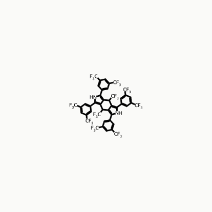 FC(F)(F)c1cc(-c2[nH]c(-c3cc(C(F)(F)F)cc(C(F)(F)F)c3)c3c2C(C(F)(F)F)c2c(-c4cc(C(F)(F)F)cc(C(F)(F)F)c4)[nH]c(-c4cc(C(F)(F)F)cc(C(F)(F)F)c4)c2C3C(F)(F)F)cc(C(F)(F)F)c1